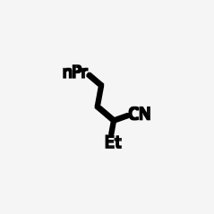 [CH2]CC(C#N)CCCCC